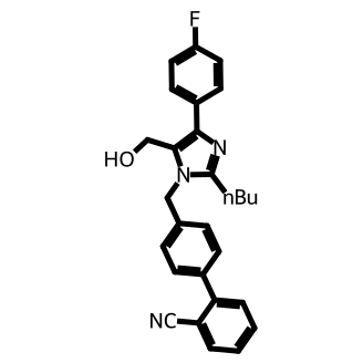 CCCCc1nc(-c2ccc(F)cc2)c(CO)n1Cc1ccc(-c2ccccc2C#N)cc1